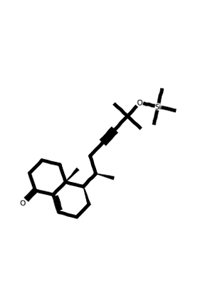 C[C@H](CC#CC(C)(C)O[Si](C)(C)C)[C@H]1CCC=C2C(=O)CCC[C@@]21C